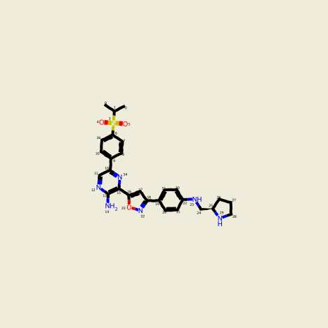 CC(C)S(=O)(=O)c1ccc(-c2cnc(N)c(-c3cc(-c4ccc(NC[C@H]5CCCN5)cc4)no3)n2)cc1